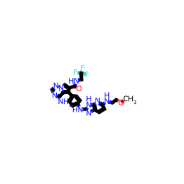 COCCNc1ccc2nc(Nc3ccc(-c4c(C(=O)NCC(F)(F)F)cn5ncnc(N)c45)cc3)[nH]c2n1